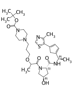 Cc1ncsc1C1=CC=C([C@@H](C)NC(=O)[C@@H]2C[C@@H](O)CN2C(=O)C(C)OCCCN2CCN(C(=O)OC(C)(C)C)CC2)C1